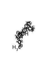 COc1ccc(-n2ccc3c(=O)n(CC4(O)CCN(C(=O)C5CCC(F)(F)CC5c5cccs5)CC4)cnc32)cc1